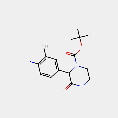 Cc1cc(C2C(=O)NCCN2C(=O)OC(C)(C)C)ccc1N